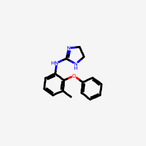 Cc1cccc(NC2=NCCN2)c1Oc1ccccc1